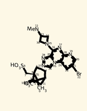 CC1(C)C2CC[C@@]1(CS(=O)(=O)O)C(=O)C2.CNC1CN(c2nc3ncc(Br)cc3n3cnnc23)C1